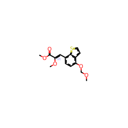 COCOc1ccc(/C=C(\OC)C(=O)OC)c2sccc12